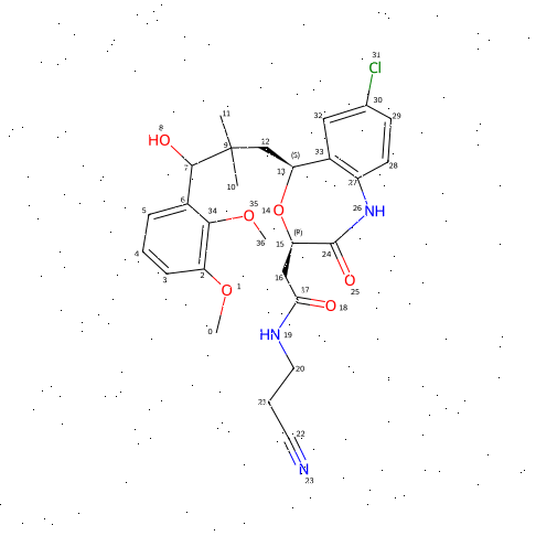 COc1cccc(C(O)C(C)(C)C[C@@H]2O[C@H](CC(=O)NCCC#N)C(=O)Nc3ccc(Cl)cc32)c1OC